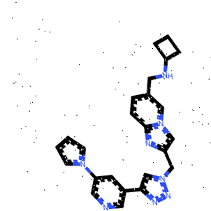 c1ccn(-c2cncc(-c3cn(Cc4cn5cc(CNC6CCC6)ccc5n4)nn3)c2)c1